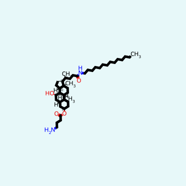 CCCCCCCCCCCCCCNC(=O)CC[C@@H](C)[C@H]1CC[C@H]2[C@@H]3[C@@H](O)C[C@@H]4C[C@H](OC(=O)CCCN)CC[C@]4(C)[C@H]3CC[C@]12C